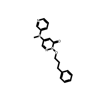 CN(c1cccnc1)c1cnn(OCCCc2ccccc2)c(=O)c1